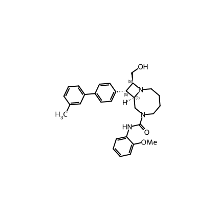 COc1ccccc1NC(=O)N1CCCCN2[C@H](CO)[C@@H](c3ccc(-c4cccc(C)c4)cc3)[C@@H]2C1